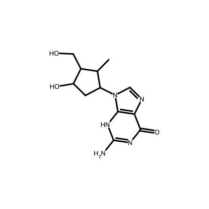 CC1C(CO)C(O)CC1n1cnc2c(=O)nc(N)[nH]c21